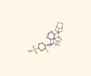 Cc1c(Nc2ccc(S(C)(=O)=O)cc2F)ncnc1OC1C2CCC1CN(C(=O)OC(C)C)C2